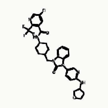 O=C(NC1CCC(Cn2c(=O)n(-c3ccc(NC4CCOC4)nc3)c3ccccc32)CC1)c1cc(Cl)cnc1C(F)(F)F